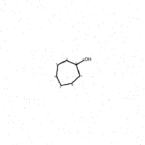 OC1CC[CH]CCC1